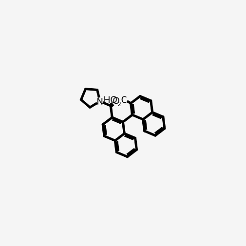 O=C(O)c1ccc2ccccc2c1-c1c(C(=O)N2CCCC2)ccc2ccccc12